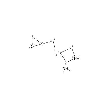 C1CNC1.ClCC1CO1.N